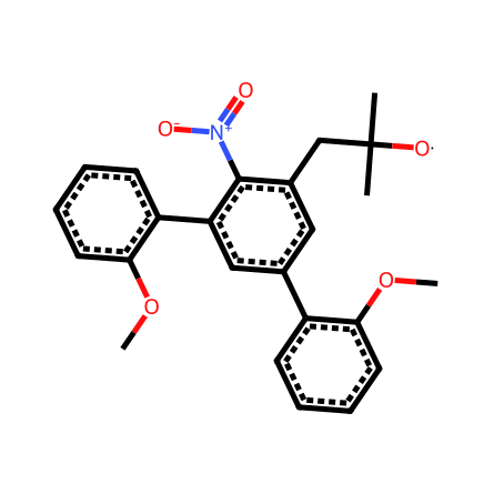 COc1ccccc1-c1cc(CC(C)(C)[O])c([N+](=O)[O-])c(-c2ccccc2OC)c1